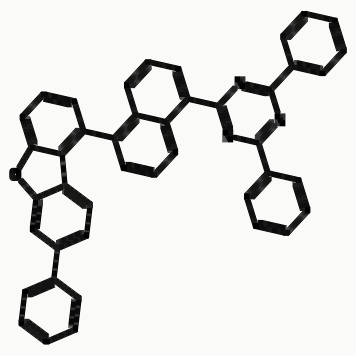 c1ccc(-c2ccc3c(c2)oc2cccc(-c4cccc5c(-c6nc(-c7ccccc7)nc(-c7ccccc7)n6)cccc45)c23)cc1